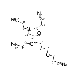 N#CCCOCCCC(OCCC#N)C(COCCC#N)OCCC#N